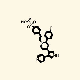 CN(C#N)S(=O)(=O)c1ccc(C=CN2CC=C(c3c[nH]cc3-c3ccncc3)CC2c2ccc(F)cc2)cc1